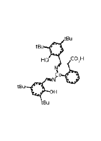 CC(C)(C)c1cc(C=[N][Co]([N]=Cc2cc(C(C)(C)C)cc(C(C)(C)C)c2O)[c]2ccccc2CC(=O)O)c(O)c(C(C)(C)C)c1